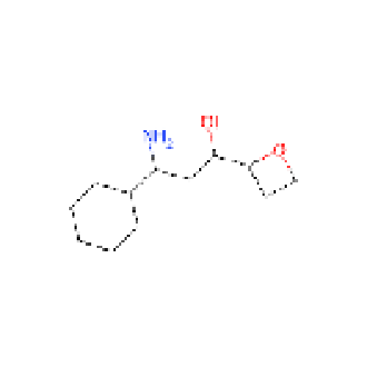 NC(CC(O)C1CCO1)C1CCCCC1